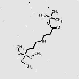 CO[Si](CCCNCCC(=O)O[Si](C)(C)C)(OC)OC